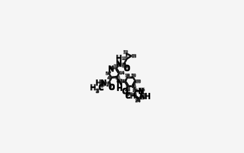 CNC(=O)c1cnc(NC(=O)C2CC2)cc1Nc1cccc(-c2cc[nH]n2)c1OC